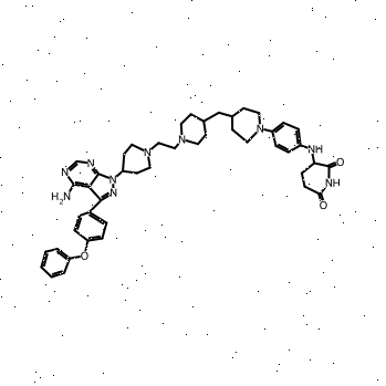 Nc1ncnc2c1c(-c1ccc(Oc3ccccc3)cc1)nn2C1CCN(CCN2CCC(CC3CCN(c4ccc(NC5CCC(=O)NC5=O)cc4)CC3)CC2)CC1